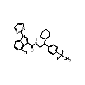 CC(F)(F)c1ccc(C(CNC(=O)c2cn(-c3ncccn3)c3cccc(Cl)c23)N2CCCCC2)cc1